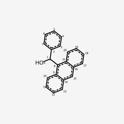 O[C](c1ccccc1)c1c2ccccc2cc2ccccc12